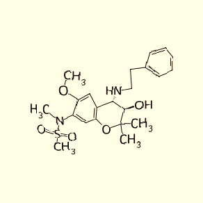 COc1cc2c(cc1N(C)S(C)(=O)=O)OC(C)(C)[C@H](O)[C@H]2NCCc1ccccc1